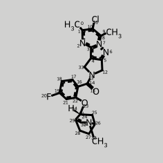 Cc1nc2c3c(nn2c(C)c1Cl)CN(C(=O)c1ccc(F)cc1O[C@@H]1CC2CCC1=CN2C)C3